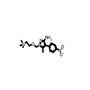 Cc1c(-c2ccc([N+](=O)[O-])cc2)c(N)nn1COCC[Si](C)(C)C